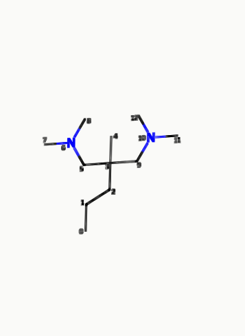 CCCC(C)(CN(C)C)CN(C)C